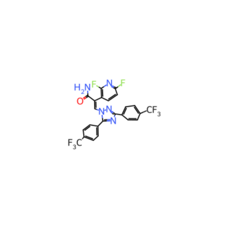 NC(=O)C(=Cn1nc(-c2ccc(C(F)(F)F)cc2)nc1-c1ccc(C(F)(F)F)cc1)c1ccc(F)nc1F